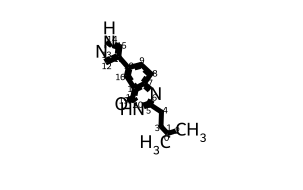 CC(C)CCc1nc2ccc(-c3cn[nH]c3)cc2c(=O)[nH]1